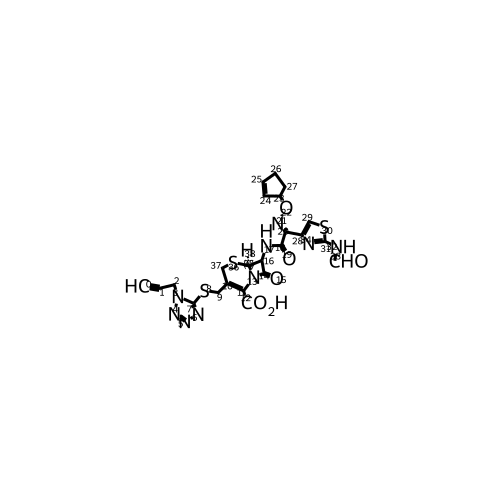 C#CCn1nnnc1SCC1=C(C(=O)O)N2C(=O)C(NC(=O)C(=NOC3C=CCC3)c3csc(NC=O)n3)[C@@H]2SC1